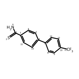 NC(=S)c1ccc(-c2ccc(C(F)(F)F)cc2)cc1